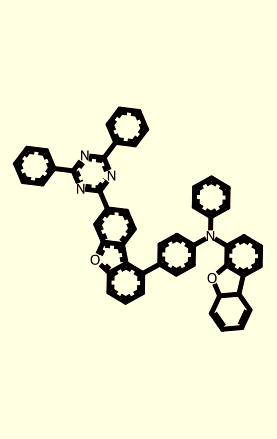 C1=CC2Oc3c(cccc3N(c3ccccc3)c3ccc(-c4cccc5oc6cc(-c7nc(-c8ccccc8)nc(-c8ccccc8)n7)ccc6c45)cc3)C2C=C1